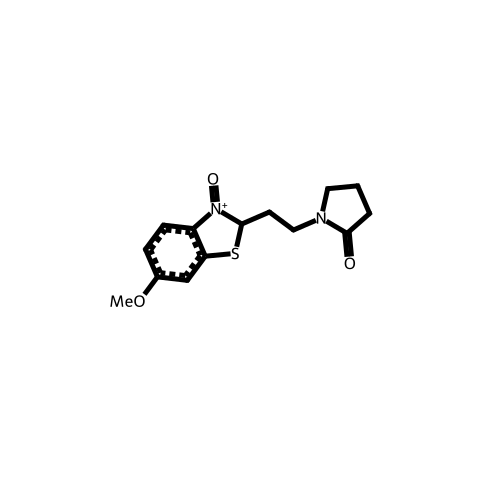 COc1ccc2c(c1)SC(CCN1CCCC1=O)[N+]2=O